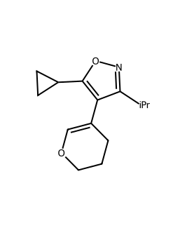 CC(C)c1noc(C2CC2)c1C1=COCCC1